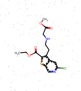 CCOC(=O)c1sc2cnc(Cl)cc2c1CCNCC(=O)OC